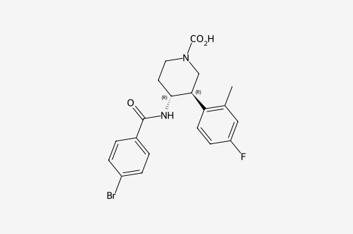 Cc1cc(F)ccc1[C@@H]1CN(C(=O)O)CC[C@H]1NC(=O)c1ccc(Br)cc1